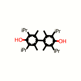 Cc1c(-c2c(C)c(C(C)C)c(O)c(C(C)C)c2C)c(C)c(C(C)C)c(O)c1C(C)C